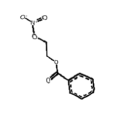 O=C(OCCO[N+](=O)[O-])c1ccccc1